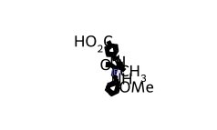 COc1ccccc1N/C=C1/C(=O)N(c2ccc(C(=O)O)cc2)N=C1C